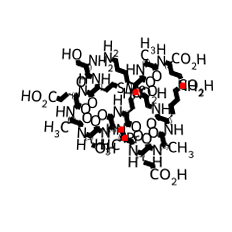 CSCC[C@H](NC(=O)[C@@H](N)CO)C(=O)N[C@@H](CCC(=O)O)C(=O)N[C@@H](C)C(=O)N[C@@H](CO)C(=O)N[C@@H](CC(C)C)C(=O)N[C@@H](CCC(=O)O)C(=O)N[C@@H](C)C(=O)N[C@@H](CCC(=O)O)C(=O)N[C@@H](C)C(=O)N[C@@H](CCCCN)C(=O)NCC(=O)N[C@@H](CCCCN)C(=O)N[C@@H](C)C(=O)N[C@@H](CCC(=O)O)C(=O)O